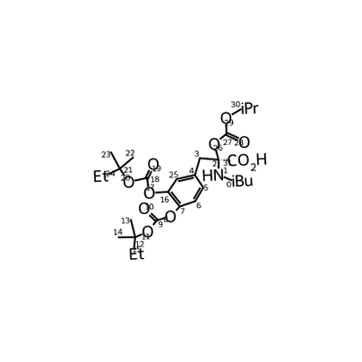 CCC(C)N[C@@](Cc1ccc(OC(=O)OC(C)(C)CC)c(OC(=O)OC(C)(C)CC)c1)(OC(=O)OC(C)C)C(=O)O